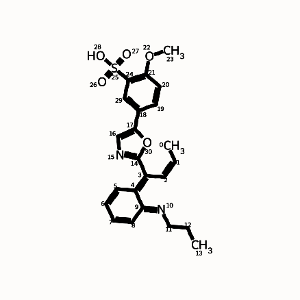 C\C=C/C(=C1/C=CC=C/C1=N\CCC)c1ncc(-c2ccc(OC)c(S(=O)(=O)O)c2)o1